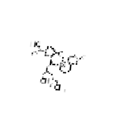 C=CCCC(CC)CN1C[C@@]2(CCCc3cc(Cl)ccc32)COc2ccc(C(=O)O)cc21